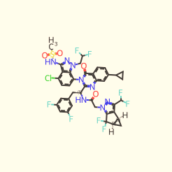 CS(=O)(=O)Nc1nn(CC(F)F)c2c(-n3c([C@H](Cc4cc(F)cc(F)c4)NC(=O)Cn4nc(C(F)F)c5c4C(F)(F)[C@@H]4C[C@H]54)nc4cc(C5CC5)ccc4c3=O)ccc(Cl)c12